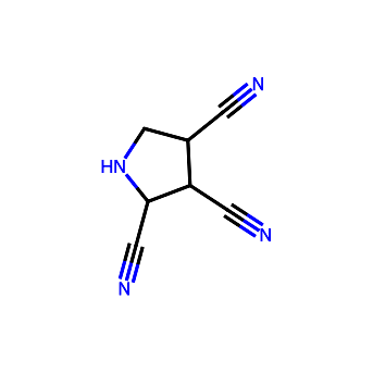 N#CC1CNC(C#N)C1C#N